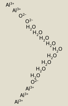 O.O.O.O.O.O.O.O.O.[Al+3].[Al+3].[Al+3].[Al+3].[Al+3].[O-2].[O-2].[O-2]